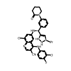 CC(C)N1C=C([C@@H](Nc2cc(Cl)c3ncc(C#N)c(Nc4ccc(F)c(Cl)c4)c3c2)c2cccc(N3CCCCC3=O)c2)NN1